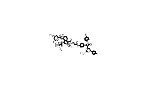 CCC(C)(C)C(=O)OC1CC(C)C(C(=O)NCCC(=O)Oc2ccc(C3C(CCC(OC(C)=O)c4ccc(F)cc4)C(=O)N3c3ccc(F)cc3)cc2)=C2C=CC(C)C(CCC3CC(C)CC(=O)O3)C21